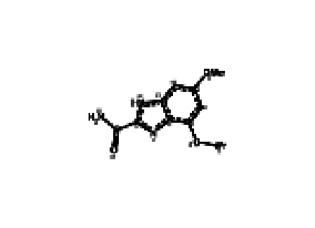 COc1cc(OC(C)C)c2nc(C(N)=O)[nH]c2c1